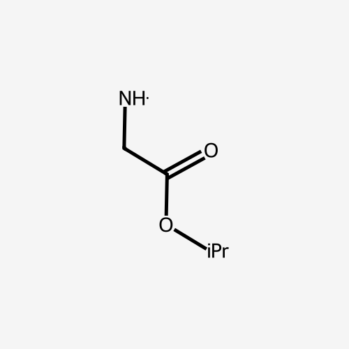 CC(C)OC(=O)C[NH]